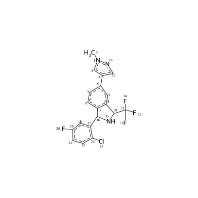 Cn1cc(-c2ccc3c(c2)C(C(F)(F)F)NC3c2cc(F)ccc2Cl)cn1